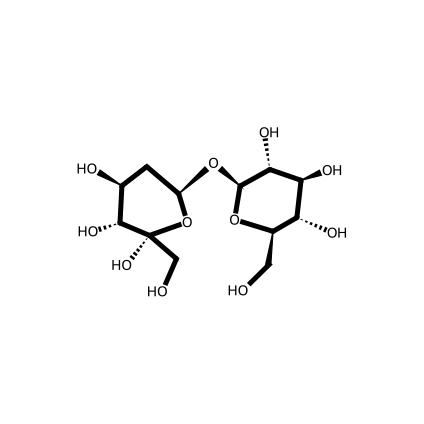 OC[C@H]1O[C@@H](O[C@@H]2C[C@H](O)[C@@H](O)[C@](O)(CO)O2)[C@H](O)[C@@H](O)[C@@H]1O